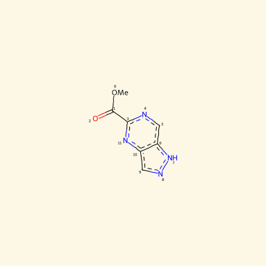 COC(=O)c1ncc2[nH]ncc2n1